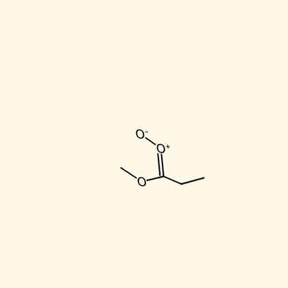 CCC(OC)=[O+][O-]